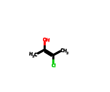 CC(O)=C(C)Cl